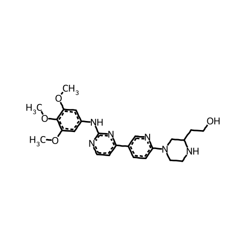 COc1cc(Nc2nccc(-c3ccc(N4CCNC(CCO)C4)nc3)n2)cc(OC)c1OC